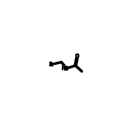 CC(=O)BCBr